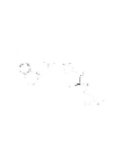 CCc1cc2c(s1)CCOC21CCN(CC2CC(NC(=O)COCC(F)(F)F)C2)CC1